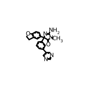 CN1C(=O)C(c2cccc(-c3cncnc3)c2)(c2ccc3c(c2)CCO3)N=C1N